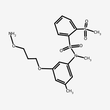 Cc1cc(OCCCON)cc(N(C)S(=O)(=O)c2ccccc2S(C)(=O)=O)c1